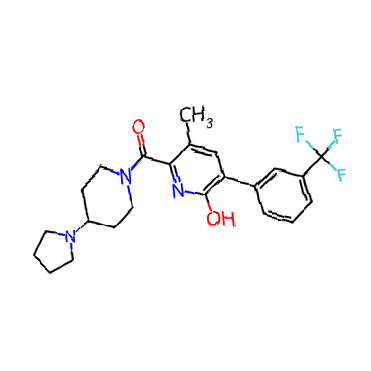 Cc1cc(-c2cccc(C(F)(F)F)c2)c(O)nc1C(=O)N1CCC(N2CCCC2)CC1